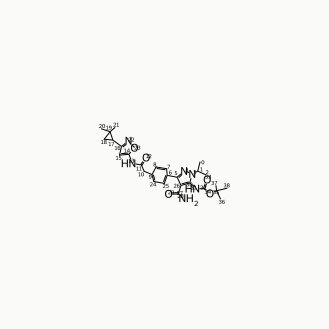 CC(C)n1nc(-c2ccc(CC(=O)Nc3cc(C4CC4(C)C)no3)cc2)c(C(N)=O)c1NC(=O)OC(C)(C)C